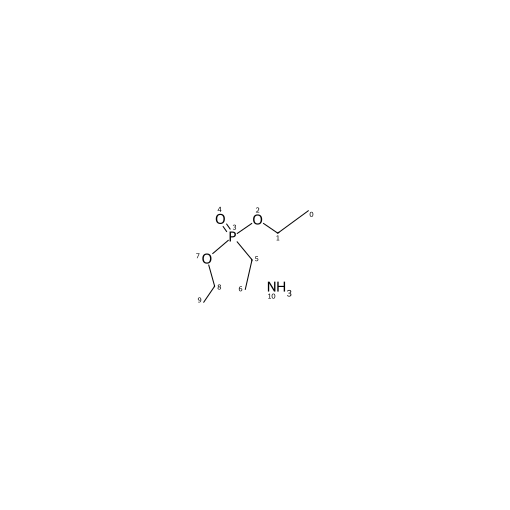 CCOP(=O)(CC)OCC.N